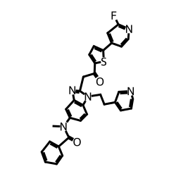 CN(C(=O)c1ccccc1)c1ccc2c(c1)nc(CC(=O)c1ccc(-c3ccnc(F)c3)s1)n2CCc1cccnc1